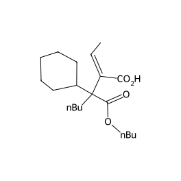 CC=C(C(=O)O)C(CCCC)(C(=O)OCCCC)C1CCCCC1